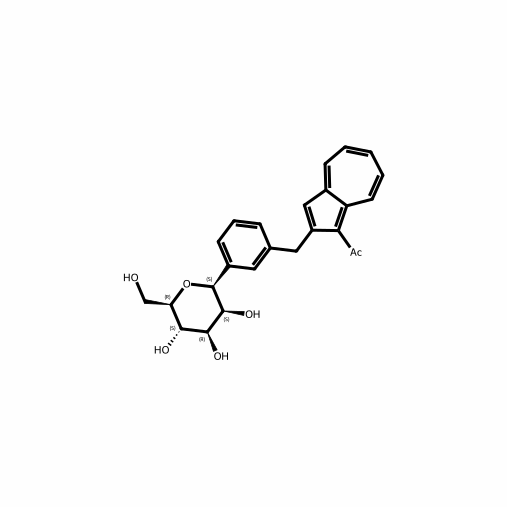 CC(=O)c1c(Cc2cccc([C@@H]3O[C@H](CO)[C@@H](O)[C@H](O)[C@@H]3O)c2)cc2cccccc1-2